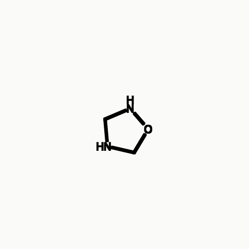 C1NCON1